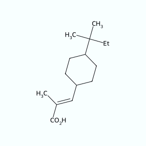 CCC(C)(C)C1CCC(C=C(C)C(=O)O)CC1